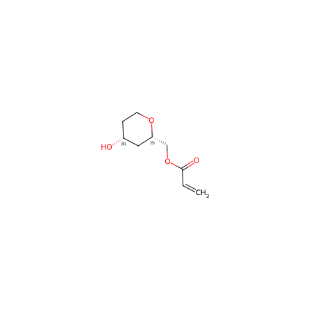 C=CC(=O)OC[C@@H]1C[C@H](O)CCO1